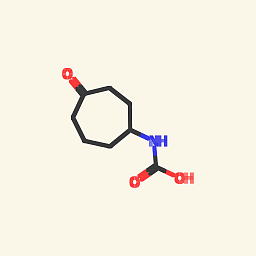 O=C1CCCC(NC(=O)O)CC1